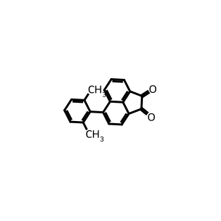 Cc1cccc(C)c1-c1ccc2c3c(cccc13)C(=O)C2=O